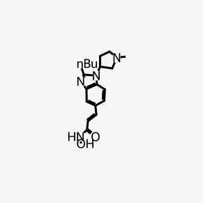 CCCCc1nc2cc(C=CC(=O)NO)ccc2n1C1CCN(C)C1